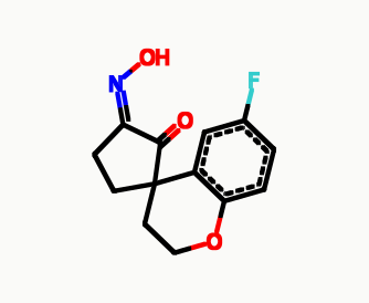 O=C1C(=NO)CCC12CCOc1ccc(F)cc12